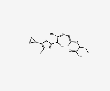 CCC(SC1=NN=C(Br)C(c2cc(C)c(C3CC3)s2)CC1)C(=O)O